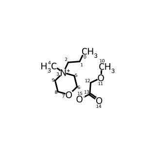 CCC[N+]1(C)CCOCC1.COCC(=O)[O-]